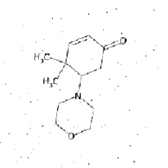 CC1(C)C=CC(=O)CC1N1CCOCC1